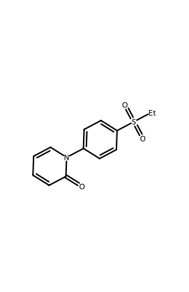 CCS(=O)(=O)c1ccc(-n2ccccc2=O)cc1